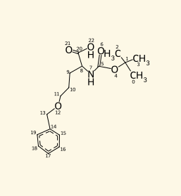 CC(C)(C)OC(=O)NC(CCCOCc1ccccc1)C(=O)O